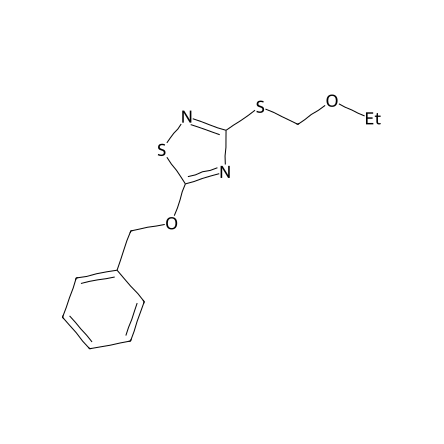 CCOCSc1nsc(OCc2ccccc2)n1